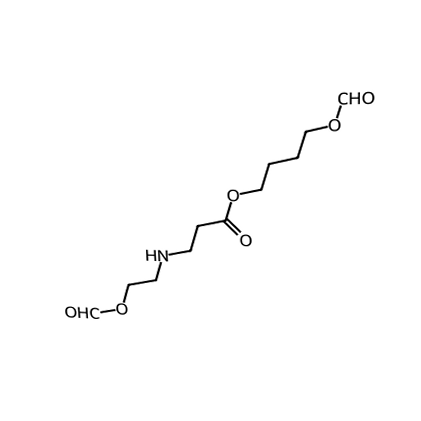 O=COCCCCOC(=O)CCNCCOC=O